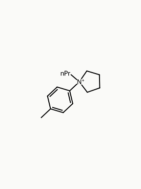 CCC[N+]1(c2ccc(C)cc2)CCCC1